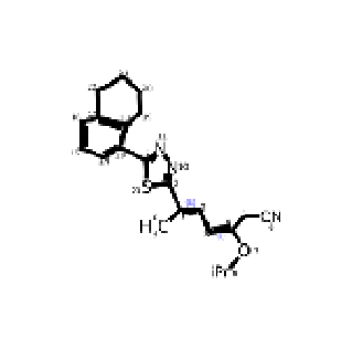 C/C(=C\C=C(/CC#N)OC(C)C)c1nnc(-c2cccc3c2CCCC3)s1